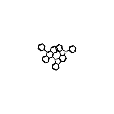 c1ccc(-c2c3ccccc3c(-n3c4ccccc4c4ccc5c(c6ccccc6n5-c5ccccc5)c43)c3ccccc23)cc1